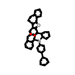 c1ccc(-c2ccc(N(c3ccccc3-c3cccc4c3oc3c5ccccc5ccc43)c3cccc4ccccc34)cc2)cc1